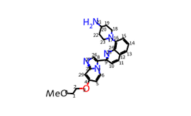 COCCOc1ccn2c(-c3ccc4cccc(N5CCC(N)CC5)c4n3)cnc2c1